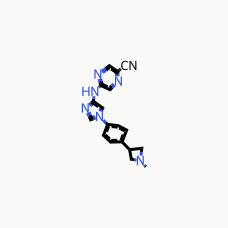 CN1CC(c2ccc(-n3cnc(Nc4cnc(C#N)cn4)c3)cc2)C1